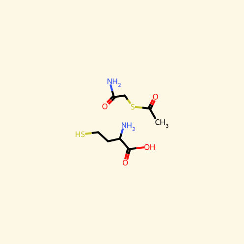 CC(=O)SCC(N)=O.NC(CCS)C(=O)O